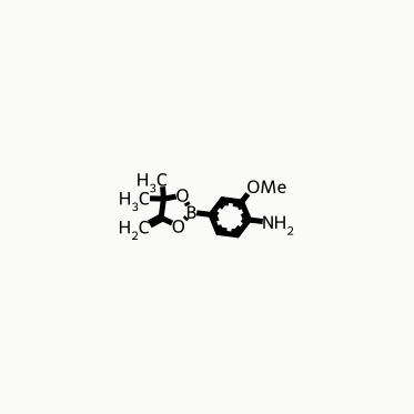 C=C1OB(c2ccc(N)c(OC)c2)OC1(C)C